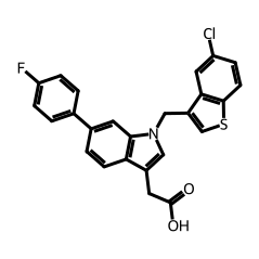 O=C(O)Cc1cn(Cc2csc3ccc(Cl)cc23)c2cc(-c3ccc(F)cc3)ccc12